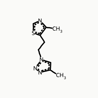 Cc1cn(CCc2scnc2C)nn1